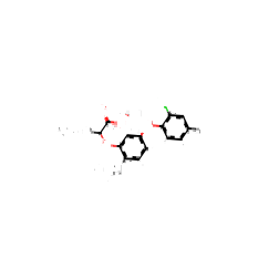 COC(Oc1cc(Oc2ccc(C(F)(F)F)cc2Cl)ccc1[N+](=O)[O-])C(=O)OC(C)C